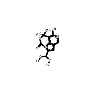 CCOC(OCC)c1cc2cnc(C#N)c3c2n1C(=O)OC3(C)C